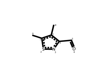 Cc1snc(C=O)c1C